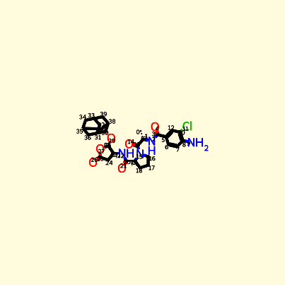 C[C@H](NC(=O)c1ccc(N)c(Cl)c1)C(=O)N1CCC[C@H]1C(=O)N[C@H]1CC(=O)O[C@H]1OC1C2CC3CC(C2)CC1C3